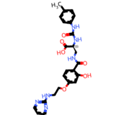 Cc1ccc(NC(=O)N[C@@H](CNC(=O)c2ccc(OCCNc3ncccn3)cc2O)C(=O)O)cc1